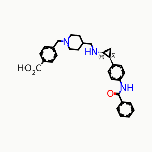 O=C(O)c1ccc(CN2CCC(CN[C@@H]3C[C@H]3c3ccc(NC(=O)c4ccccc4)cc3)CC2)cc1